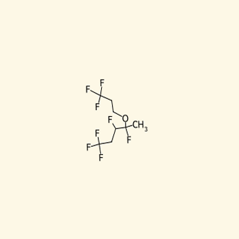 CC(F)(OCCC(F)(F)F)C(F)CC(F)(F)F